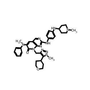 CN1CCC(Nc2ccc(Nc3ncc4cc(N(C)c5ccccc5)c(=O)n(Cc5nnn(C)c5C5CCOCC5)c4n3)cc2)CC1